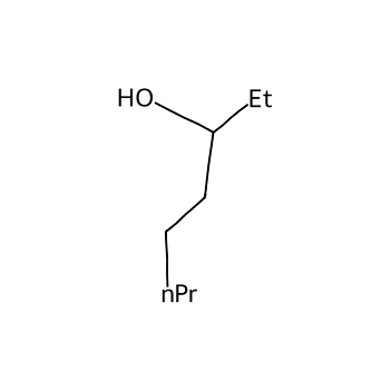 C[CH]CCCC(O)CC